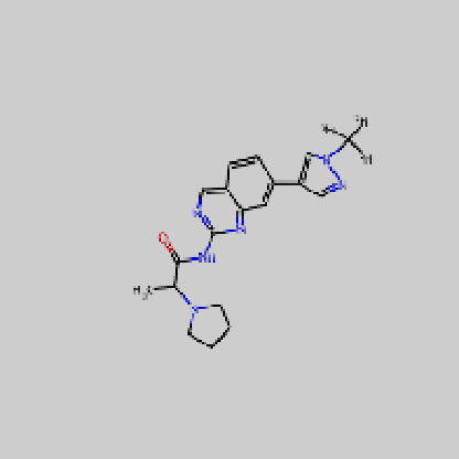 [2H]C([2H])([2H])n1cc(-c2ccc3cnc(NC(=O)C(C)N4CCCC4)nc3c2)cn1